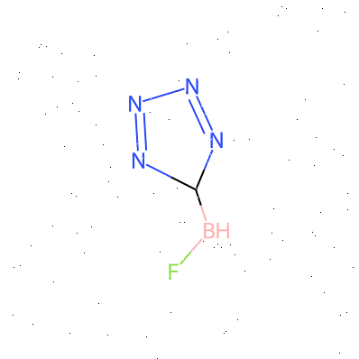 FBC1N=NN=N1